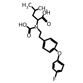 CC(C)CC(C(=O)O)N(CCc1ccc(Oc2ccc(F)cc2)cc1)C(=O)O